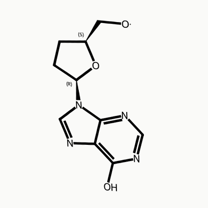 [O]C[C@@H]1CC[C@H](n2cnc3c(O)ncnc32)O1